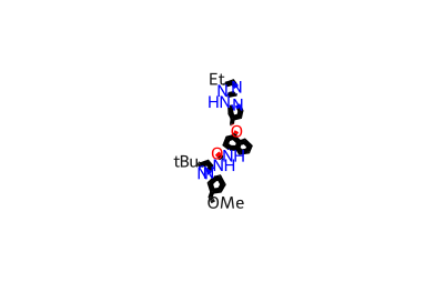 CCc1cncc(Nc2cc(COc3ccc(NC(=O)Nc4cc(C(C)(C)C)nn4-c4cccc(COC)c4)c4ccccc34)ccn2)n1